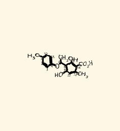 Cc1ccc(OC(C)c2c(O)cc(C)c(C(=O)O)c2O)cc1